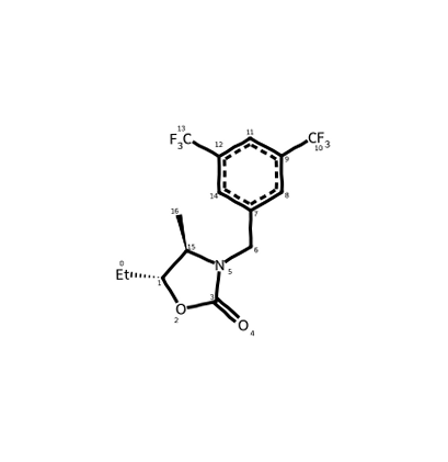 CC[C@H]1OC(=O)N(Cc2cc(C(F)(F)F)cc(C(F)(F)F)c2)[C@@H]1C